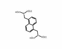 CCCCCCCCP(CCCCCCCC)Cc1cccc2c(CP(CCCCCCCC)CCCCCCCC)cccc12